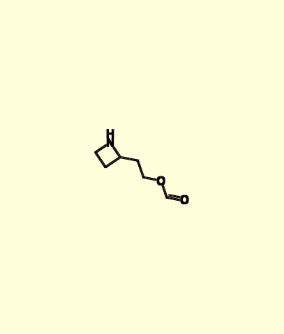 O=COCCC1CCN1